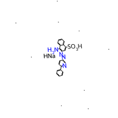 Nc1c(/N=N/c2ccc(-c3ccccc3)nc2)cc(S(=O)(=O)O)c2ccccc12.[NaH]